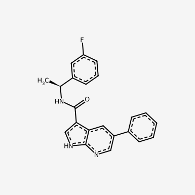 C[C@H](NC(=O)c1c[nH]c2ncc(-c3ccccc3)cc12)c1cccc(F)c1